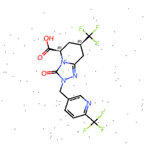 O=C(O)[C@H]1C[C@@H](C(F)(F)F)Cc2nn(Cc3ccc(C(F)(F)F)nc3)c(=O)n21